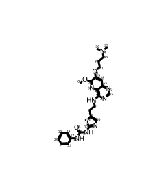 COc1nc2c(NCCc3cnc(NC(=O)Nc4ccccc4)s3)ncnc2cc1OCCCN(C)C